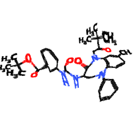 Cc1ccc2c(c1)N(CC(=O)C(C)(C)C)C(=O)C(NC(=O)Nc1cccc(C(=O)OC(C)(C)C)c1)CN2c1ccccc1